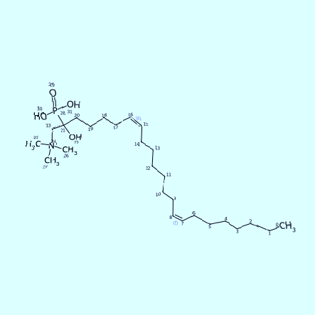 CCCCCCC/C=C\CCCCCC/C=C\CCCCC(O)(C[N+](C)(C)C)P(=O)(O)O